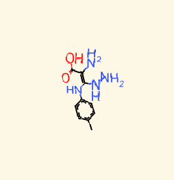 Cc1ccc(N/C(NN)=C(/N)C(=O)O)cc1